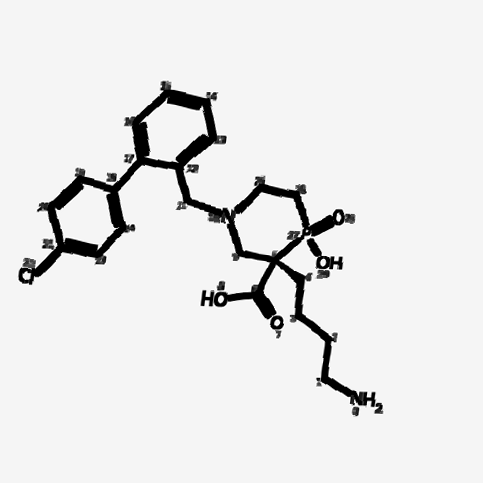 NCCCC[C@@]1(C(=O)O)CN(Cc2ccccc2-c2ccc(Cl)cc2)CCP1(=O)O